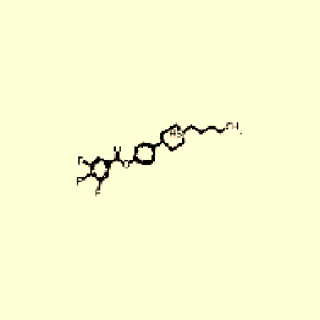 CCCCC[SiH]1CCC(c2ccc(OC(=O)c3cc(F)c(F)c(F)c3)cc2)CC1